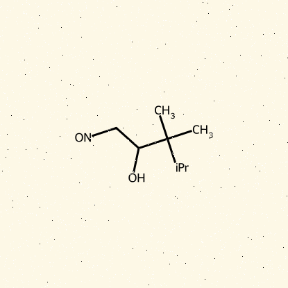 CC(C)C(C)(C)C(O)CN=O